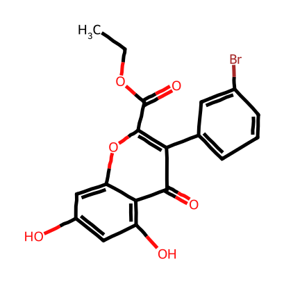 CCOC(=O)c1oc2cc(O)cc(O)c2c(=O)c1-c1cccc(Br)c1